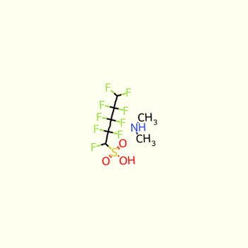 CNC.O=S(=O)(O)C(F)C(F)(F)C(F)(F)C(F)(F)C(F)F